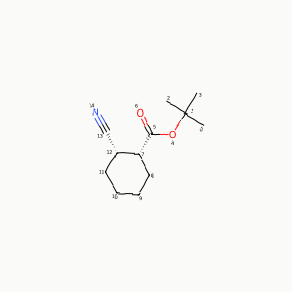 CC(C)(C)OC(=O)[C@@H]1CCCC[C@@H]1C#N